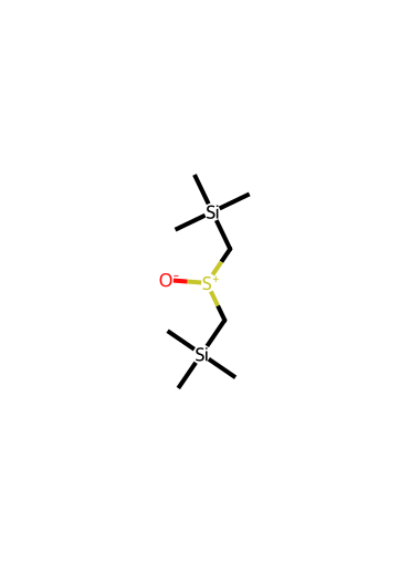 C[Si](C)(C)C[S+]([O-])C[Si](C)(C)C